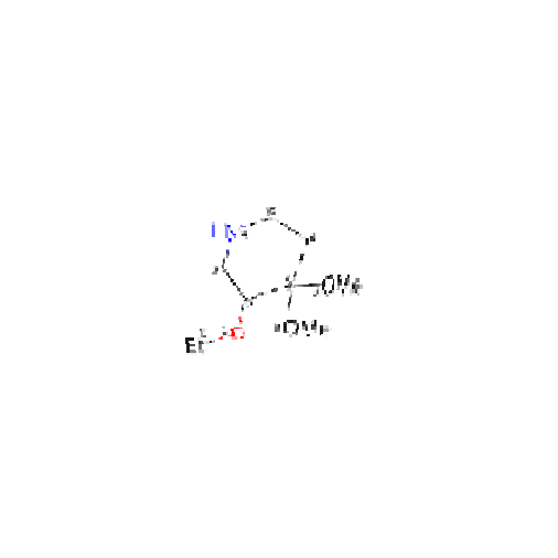 CCOC1CNCCC1(OC)OC